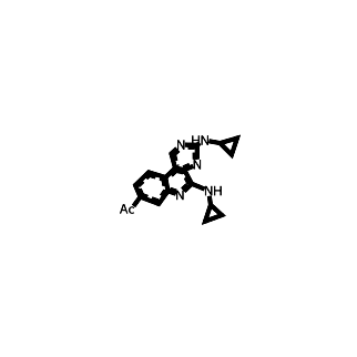 CC(=O)c1ccc2c(c1)nc(NC1CC1)c1nc(NC3CC3)ncc12